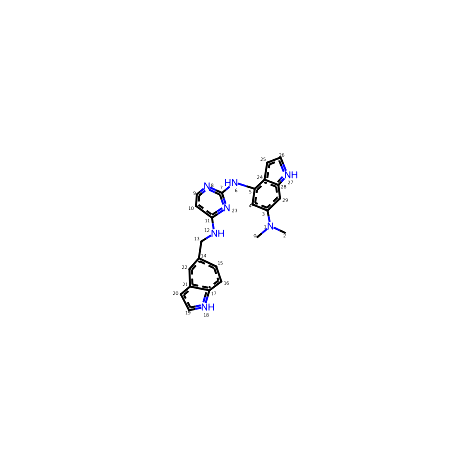 CN(C)c1cc(Nc2nccc(NCc3ccc4[nH]ccc4c3)n2)c2cc[nH]c2c1